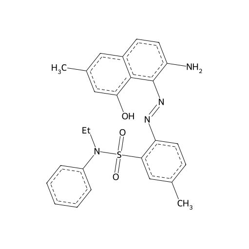 CCN(c1ccccc1)S(=O)(=O)c1cc(C)ccc1/N=N/c1c(N)ccc2cc(C)cc(O)c12